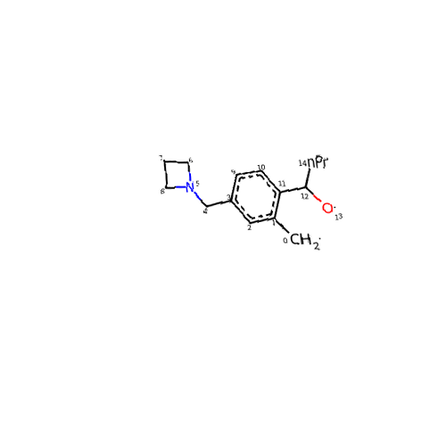 [CH2]c1cc(CN2CCC2)ccc1C([O])CCC